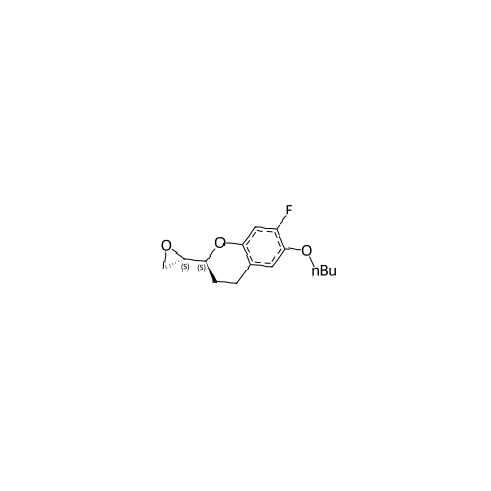 CCCCOc1cc2c(cc1F)O[C@H]([C@@H]1CO1)CC2